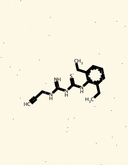 C#CCNC(=N)NC(=S)Nc1c(CC)cccc1CC